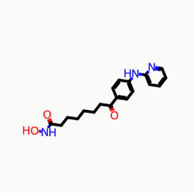 O=C(CCCCCCC(=O)c1ccc(Nc2ccccn2)cc1)NO